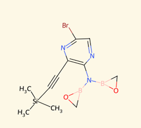 C[Si](C)(C)C#Cc1nc(Br)cnc1N(B1CO1)B1CO1